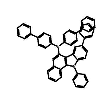 c1ccc(-c2ccc(N(c3ccc(-c4ccccc4)cc3)c3cc4ccccc4c4c3c3cc(-c5ccccc5)ccc3n4-c3ccccc3)cc2)cc1